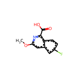 COc1cc2cc(F)ccc2c(C(=O)O)n1